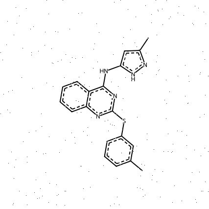 Cc1cccc(Sc2nc(Nc3cc(C)n[nH]3)c3ccccc3n2)c1